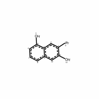 CC(C)c1cc2c(O)cccc2cc1O